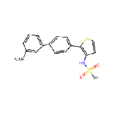 CC(=O)Nc1cccc(-c2ccc(-c3sccc3NS(=O)(=O)C(C)C)cc2)c1